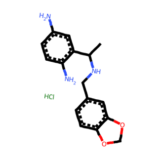 CC(NCc1ccc2c(c1)OCO2)c1cc(N)ccc1N.Cl